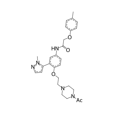 CC(=O)N1CCN(CCOc2ccc(NC(=O)COc3ccc(C)cc3)cc2-c2ccnn2C)CC1